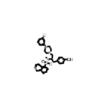 CN(C(Cc1ccc(O)cc1)CN1CCN(c2cccc(Cl)c2)CC1)S(=O)(=O)c1cccc2cnccc12